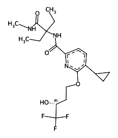 CCC(CC)(NC(=O)c1ccc(C2CC2)c(OCC[C@@H](O)C(F)(F)F)n1)C(=O)NC